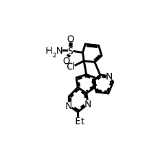 CCc1ncc2cc(C3(Cl)C(c4ccccn4)=CC=CC3S(N)(=O)=O)ccc2n1